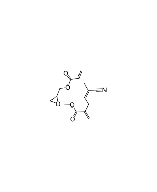 C=C(CC=C(C)C#N)C(=O)OC.C=CC(=O)OCC1CO1